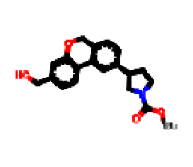 CC(C)(C)OC(=O)N1CCC(c2ccc3c(c2)-c2ccc(CO)cc2OC3)C1